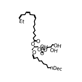 CC/C=C\C/C=C\C/C=C\CCCCCCCC(=O)O[C@H](CO/C=C\CCCCCCCCCCCCCCCC)COP(=O)(O)OC[C@@H](O)CO